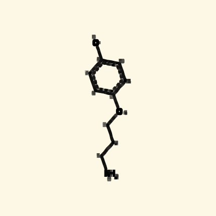 NCCCOc1ccc([O])cc1